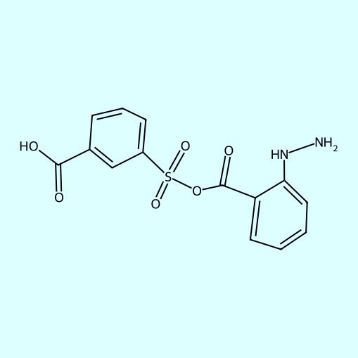 NNc1ccccc1C(=O)OS(=O)(=O)c1cccc(C(=O)O)c1